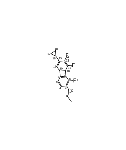 CCOc1ccc2c(c1F)C1C(F)=C(F)C(C3CC3)=CC21